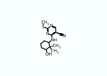 CSc1ncc(C#N)c(NC2CCCC(O)C2(C)C)n1